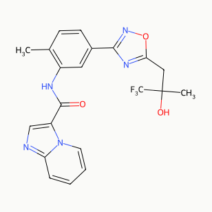 Cc1ccc(-c2noc(CC(C)(O)C(F)(F)F)n2)cc1NC(=O)c1cnc2ccccn12